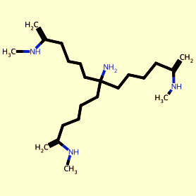 C=C(CCCCC(N)(CCCCC(=C)NC)CCCCC(=C)NC)NC